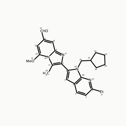 CCc1ccc2cc(-c3nc4cc(C=O)cc(OC)n4c3C)n(CC3CCCC3)c2n1